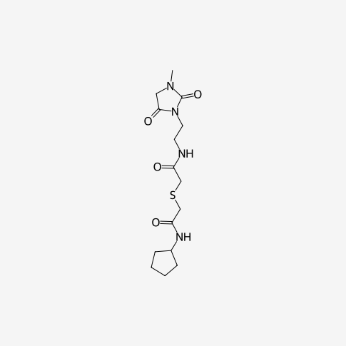 CN1CC(=O)N(CCNC(=O)CSCC(=O)NC2CCCC2)C1=O